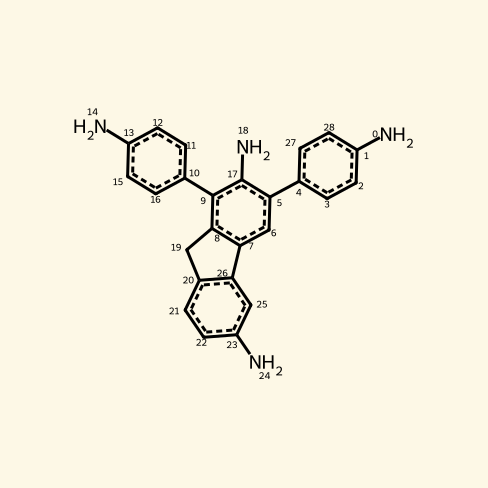 Nc1ccc(-c2cc3c(c(-c4ccc(N)cc4)c2N)Cc2ccc(N)cc2-3)cc1